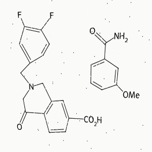 COc1cccc(C(N)=O)c1.O=C(O)c1ccc2c(c1)CN(Cc1ccc(F)c(F)c1)CC2=O